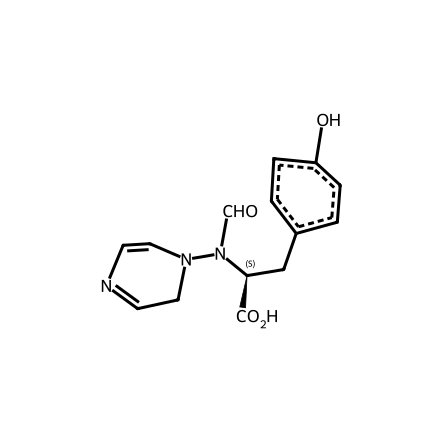 O=CN([C@@H](Cc1ccc(O)cc1)C(=O)O)N1C=CN=CC1